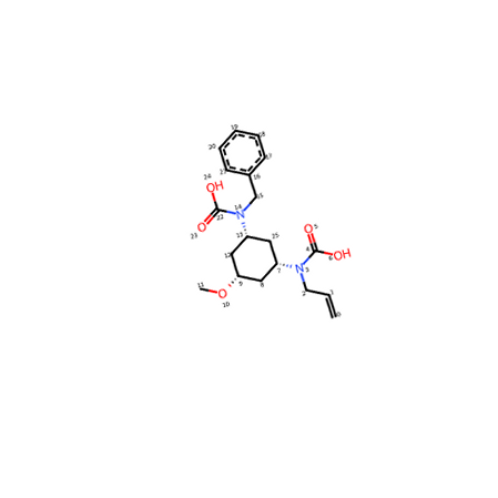 C=CCN(C(=O)O)[C@@H]1C[C@H](OC)C[C@H](N(Cc2ccccc2)C(=O)O)C1